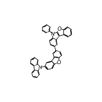 c1ccc(-n2c3ccc(-c4ccc5oc6ccc(-n7c8ccccc8c8ccccc87)cc6c5c4)cc3c3c4ccccc4oc32)cc1